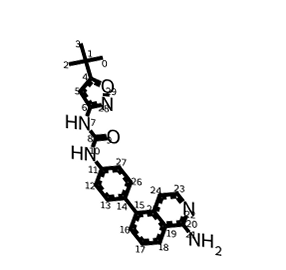 CC(C)(C)c1cc(NC(=O)Nc2ccc(-c3cccc4c(N)nccc34)cc2)no1